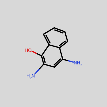 Nc1cc(N)c2ccccc2c1O